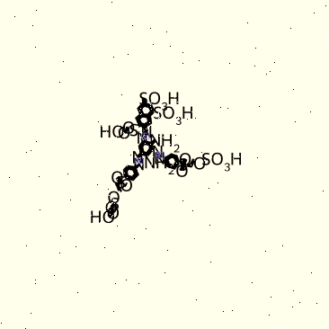 Nc1c(/N=N/c2ccc(S(=O)(=O)CCOSOOO)cc2)cc(/N=N/c2cc3c(S(=O)(=O)O)cc(S(=O)(=O)O)cc3cc2SOOO)c(N)c1/N=N/c1ccc(S(=O)(=O)CCOS(=O)(=O)O)cc1